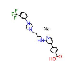 O=C(O)c1ccc(-c2ccnc(NCCCCN3CCN(c4cccc(C(F)(F)F)c4)CC3)c2)cc1.[Na]